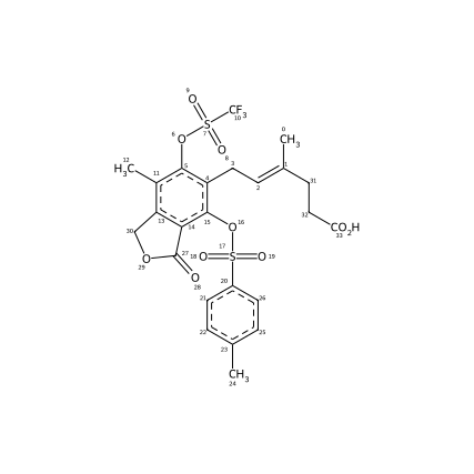 C/C(=C\Cc1c(OS(=O)(=O)C(F)(F)F)c(C)c2c(c1OS(=O)(=O)c1ccc(C)cc1)C(=O)OC2)CCC(=O)O